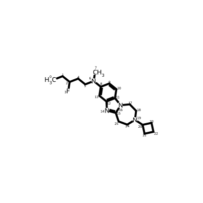 CCC(F)CCN(C)c1ccc2c(c1)nc1n2CCN(C2CCC2)CC1